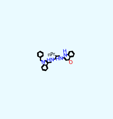 CCCC(CNCc1cn(Cc2ccccc2)c2ccccc12)CNc1cc(=O)c2ccccc2[nH]1